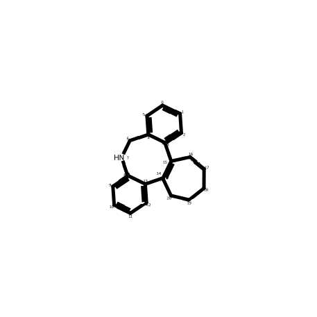 c1ccc2c(c1)CNc1ccccc1C1=C2CCCCC1